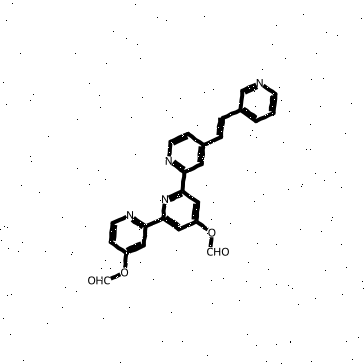 O=COc1ccnc(-c2cc(OC=O)cc(-c3cc(/C=C/c4cccnc4)ccn3)n2)c1